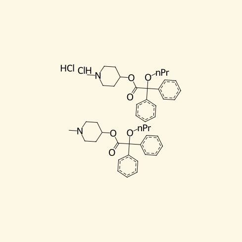 CCCOC(C(=O)OC1CCN(C)CC1)(c1ccccc1)c1ccccc1.CCCOC(C(=O)OC1CCN(C)CC1)(c1ccccc1)c1ccccc1.Cl.Cl